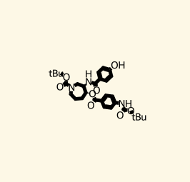 CC(C)(C)OC(=O)Nc1ccc(C(=O)O[C@@H]2CCCN(C(=O)OC(C)(C)C)C[C@H]2NC(=O)c2ccc(O)cc2)cc1